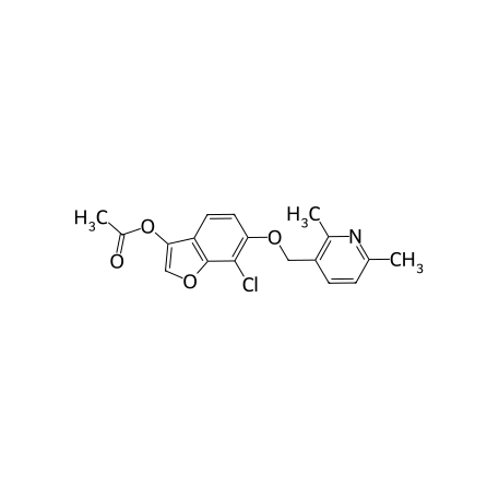 CC(=O)Oc1coc2c(Cl)c(OCc3ccc(C)nc3C)ccc12